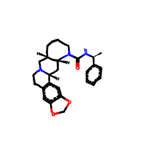 C[C@@H](NC(=O)N1CCC[C@H]2CN3CCc4cc5c(cc4[C@H]3C[C@H]21)OCO5)c1ccccc1